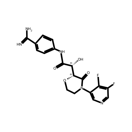 N=C(N)c1ccc(NC(=O)[C@H](O)[C@H]2OCCN(c3cncc(F)c3F)C2=O)cc1